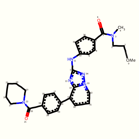 COCCN(C)C(=O)c1ccc(Nc2nc3c(-c4ccc(C(=O)N5CCCCC5)cc4)cccn3n2)cc1